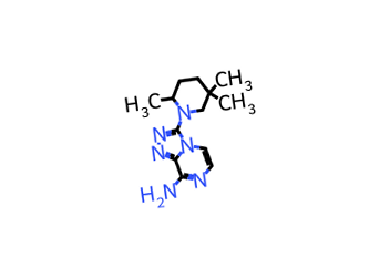 CC1CCC(C)(C)CN1c1nnc2c(N)nccn12